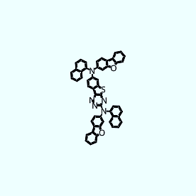 c1ccc2c(N(c3ccc4c(c3)oc3ccccc34)c3ccc4c(c3)sc3nc(N(c5ccc6c(c5)oc5ccccc56)c5cccc6ccccc56)nnc34)cccc2c1